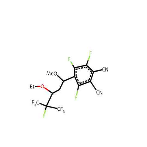 CCOC(CC(OC)c1c(F)c(F)c(C#N)c(C#N)c1F)C(F)(C(F)(F)F)C(F)(F)F